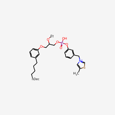 CCCCCCCCCCCCCCc1cccc(OCC(COP(=O)(O)Oc2cccc(C[n+]3csc(C)c3)c2)OCC)c1